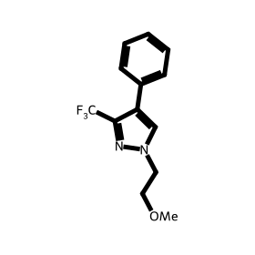 COCCn1cc(-c2ccccc2)c(C(F)(F)F)n1